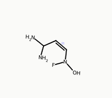 NC(N)/C=C\N(O)F